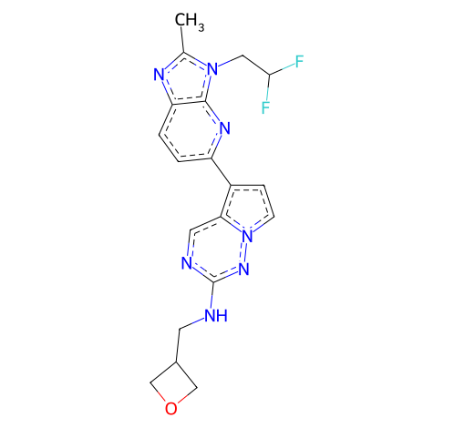 Cc1nc2ccc(-c3ccn4nc(NCC5COC5)ncc34)nc2n1CC(F)F